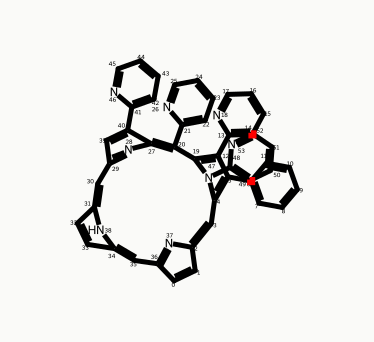 C1=Cc2cc3c(-c4ccccc4)c(-c4ccccn4)c(c(-c4ccccn4)c4nc(cc5ccc(cc1n2)[nH]5)C=C4c1ccccn1)n3-c1ccccn1